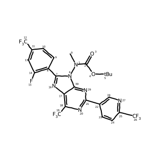 CN(C(=O)OC(C)(C)C)n1c(-c2ccc(C(F)(F)F)cc2F)nc2c(C(F)(F)F)nc(-c3ccc(C(F)(F)F)nc3)nc21